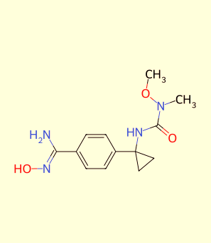 CON(C)C(=O)NC1(c2ccc(C(N)=NO)cc2)CC1